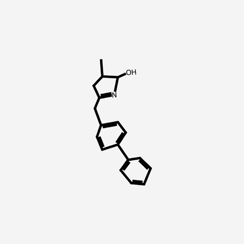 CC1CC(Cc2ccc(-c3ccccc3)cc2)=NC1O